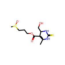 CC1=C(C(=O)OCCC[S+](C)[O-])C(CO)NC(=S)N1